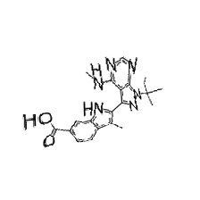 CNc1ncnc2c1c(-c1[nH]c3cc(C(=O)O)ccc3c1C)nn2C(C)(C)C